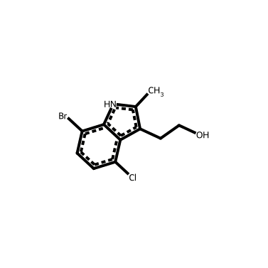 Cc1[nH]c2c(Br)ccc(Cl)c2c1CCO